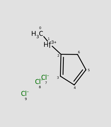 [CH3][Hf+3][C]1=CC=CC1.[Cl-].[Cl-].[Cl-]